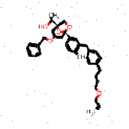 C=CCOCCCCc1ccc(Cc2cc([C@]34C[C@@H](OCc5ccccc5)C[C@](C(C)O)(CO3)O4)ccc2C)cc1